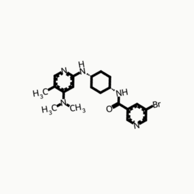 Cc1cnc(N[C@H]2CC[C@@H](NC(=O)c3cncc(Br)c3)CC2)cc1N(C)C